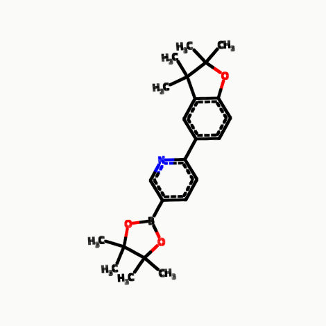 CC1(C)OB(c2ccc(-c3ccc4c(c3)C(C)(C)C(C)(C)O4)nc2)OC1(C)C